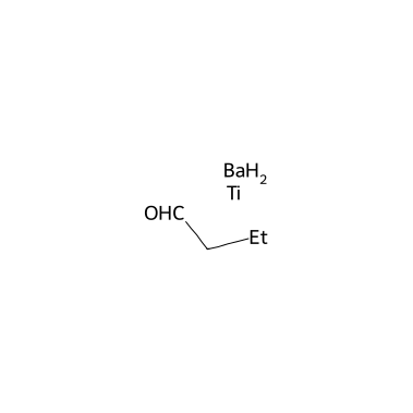 CCCC=O.[BaH2].[Ti]